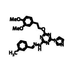 COc1ccc(CCOc2nc(N/N=C/c3cccc(C)c3)nc(-n3ccnc3)n2)cc1OC